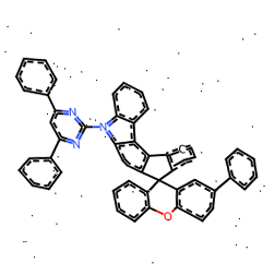 c1ccc(-c2ccc3c(c2)C2(c4ccccc4O3)c3ccccc3-c3c2ccc2c3c3ccccc3n2-c2nc(-c3ccccc3)cc(-c3ccccc3)n2)cc1